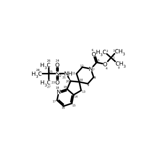 CC(C)(C)OC(=O)N1CCC2(CC1)Cc1cccnc1[C@H]2NS(=O)(=O)C(C)(C)C